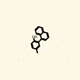 Cc1ccc(O)c(-c2cccc3ccccc23)c1